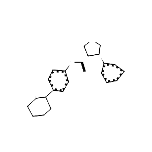 Cl.O=C(Nc1ccc(C2CCCCC2)cc1)[C@@H]1CNC[C@H]1c1ccccc1